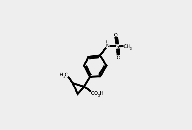 CC1CC1(C(=O)O)c1ccc(NS(C)(=O)=O)cc1